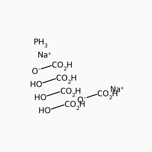 O=C(O)O.O=C(O)O.O=C(O)O.O=C([O-])O.O=C([O-])O.P.[Na+].[Na+]